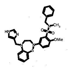 COc1ccc(N2CCN(Cc3c[nH]cn3)c3ccccc3S2)cc1S(=O)(=O)N(C)Cc1ccccc1